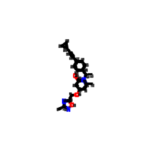 Cc1noc(COc2cc(C)n([C@H](C)c3ccc(C#CC4CC4)cc3)c(=O)c2)n1